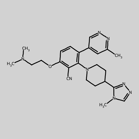 Cc1cc(-c2ccc(OCCN(C)C)c(C#N)c2N2CCC(c3nncn3C)CC2)cnn1